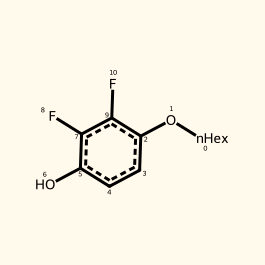 CCCCCCOc1ccc(O)c(F)c1F